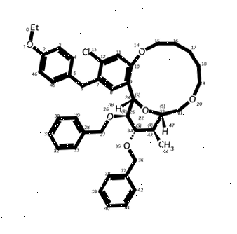 CCOc1ccc(Cc2cc3c(cc2Cl)OCCCCCOC[C@H]2O[C@@H]3[C@H](OCc3ccccc3)[C@@H](OCc3ccccc3)[C@@H]2C)cc1